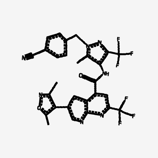 Cc1noc(C)c1-c1cnc2nc(C(F)(F)F)cc(C(=O)Nc3c(C(F)(F)F)nn(Cc4ccc(C#N)cc4)c3C)c2c1